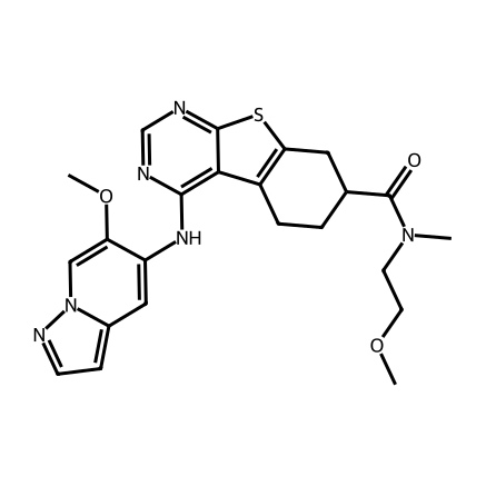 COCCN(C)C(=O)C1CCc2c(sc3ncnc(Nc4cc5ccnn5cc4OC)c23)C1